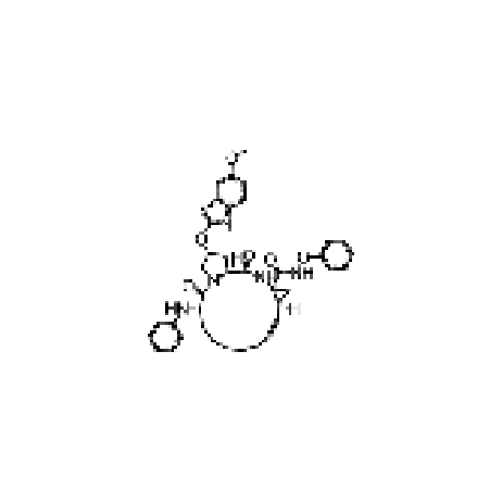 COc1ccc2nc(O[C@@H]3C[C@H]4C(=O)N[C@]5(C(=O)NOc6ccccc6)C[C@H]5/C=C\CCCCC[C@H](Nc5ccccc5)C(=O)N4C3)sc2c1